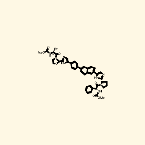 COC(=O)N[C@H](C(=O)N1CCSC1c1ncc(-c2ccc(-c3ccc4cc(-c5cnc([C@@H]6CCCN6C(=O)[C@H](NC(=O)OC)c6ccccc6)[nH]5)ccc4c3)cc2)[nH]1)C(C)C